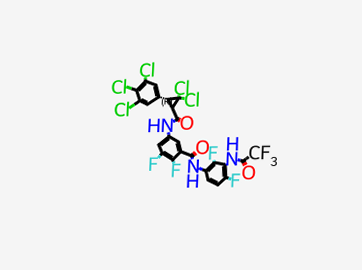 O=C(Nc1ccc(F)c(NC(=O)C(F)(F)F)c1F)c1cc(NC(=O)C2[C@H](c3cc(Cl)c(Cl)c(Cl)c3)C2(Cl)Cl)cc(F)c1F